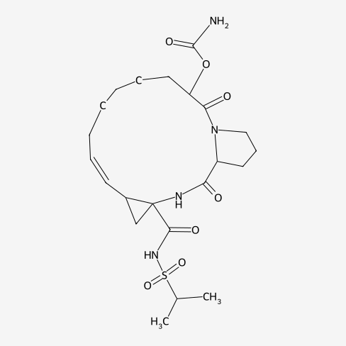 CC(C)S(=O)(=O)NC(=O)C12CC1C=CCCCCCC(OC(N)=O)C(=O)N1CCCC1C(=O)N2